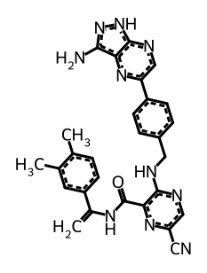 C=C(NC(=O)c1nc(C#N)cnc1NCc1ccc(-c2cnc3[nH]nc(N)c3n2)cc1)c1ccc(C)c(C)c1